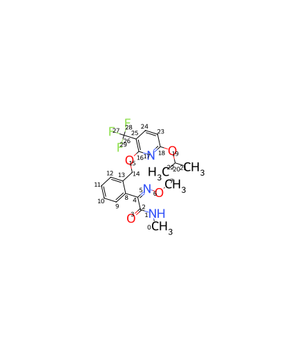 CNC(=O)/C(=N\OC)c1ccccc1COc1nc(OC(C)C)ccc1C(F)(F)F